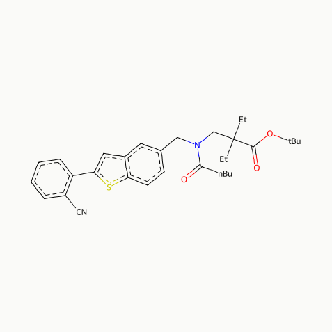 CCCCC(=O)N(Cc1ccc2sc(-c3ccccc3C#N)cc2c1)CC(CC)(CC)C(=O)OC(C)(C)C